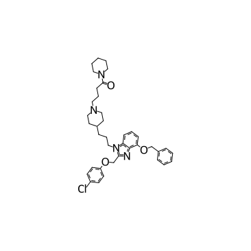 O=C(CCCN1CCC(CCCn2c(COc3ccc(Cl)cc3)nc3c(OCc4ccccc4)cccc32)CC1)N1CCCCC1